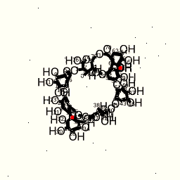 C[C@@H]1C2OC(=O)c3cc(O)c(O)c(O)c3Oc3cc4c(c(O)c3O)-c3c(cc(O)c(O)c3O)C(=O)OC3[C@@H](C)[C@@H](OOc5cc(O)c(O)c(O)c5Oc5cc6c(c(O)c5O)-c5c(cc(O)c(O)c5O)C(=O)OCC(OC2O)[C@H]1OO6)C(O)O[C@@H]3COC4=O